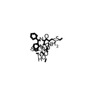 CCOC(=O)[C@@](CCSC)(NC)N(C(C)=O)N1C(=O)C(C(=O)C(N)CSSCC)N=C(c2ccccc2)c2ccccc21